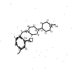 Cc1ccc(CN2CCN(C3CCN(C)CC3)CC2)c(Cl)c1